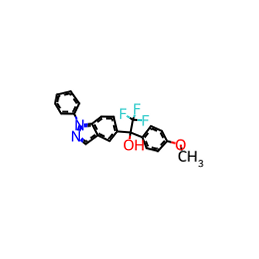 COc1ccc(C(O)(c2ccc3c(cnn3-c3ccccc3)c2)C(F)(F)F)cc1